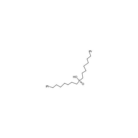 CC(C)CCCCCCCP(=O)(O)CCCCCCCC(C)C